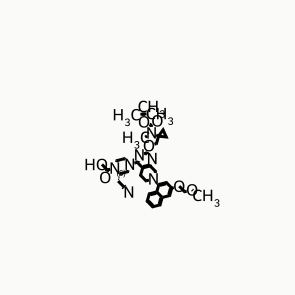 COCOc1cc(N2CCc3c(nc(OCC4(N(C)C(=O)OC(C)(C)C)CC4)nc3N3CCN(C(=O)O)[C@@H](CC#N)C3)C2)c2ccccc2c1